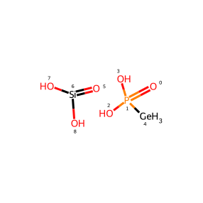 O=[P](O)(O)[GeH3].O=[Si](O)O